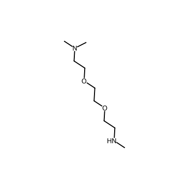 CNCCOCCOCCN(C)C